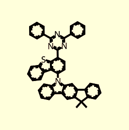 CC1(C)c2ccccc2-c2cc3c(cc21)c1ccccc1n3-c1ccc(-c2nc(-c3ccccc3)nc(-c3ccccc3)n2)c2sc3ccccc3c12